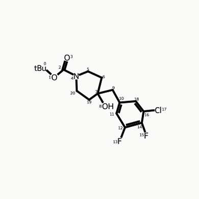 CC(C)(C)OC(=O)N1CCC(O)(Cc2cc(F)c(F)c(Cl)c2)CC1